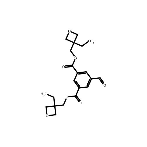 CCC1(COC(=O)c2cc(C=O)cc(C(=O)OCC3(CC)COC3)c2)COC1